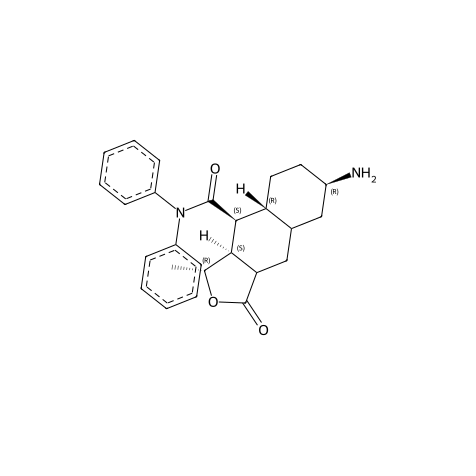 C[C@H]1OC(=O)C2CC3C[C@H](N)CC[C@H]3[C@H](C(=O)N(c3ccccc3)c3ccccc3)[C@@H]21